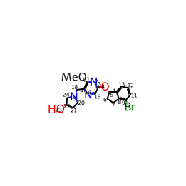 COc1nc(O[C@H]2CCc3c(Br)cccc32)cnc1CN1CC[C@@H](O)C1